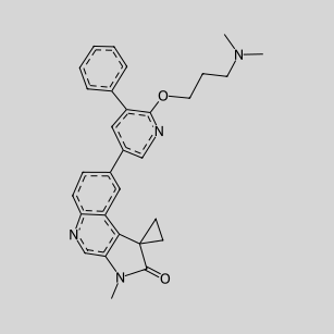 CN(C)CCCOc1ncc(-c2ccc3ncc4c(c3c2)C2(CC2)C(=O)N4C)cc1-c1ccccc1